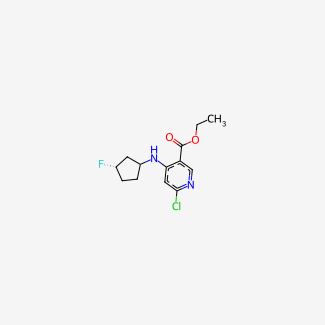 CCOC(=O)c1cnc(Cl)cc1NC1CC[C@H](F)C1